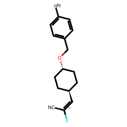 CCCc1ccc(CO[C@H]2CC[C@H](/C=C(/F)C#N)CC2)cc1